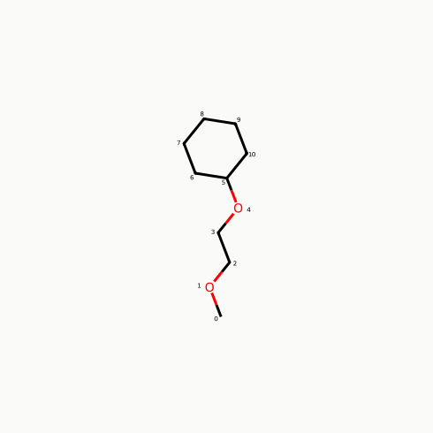 COCCOC1CCCCC1